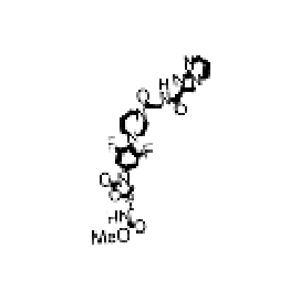 COC(=O)NC[C@H]1CN(c2cc(F)c(N3CCCN(C(=O)CNC(=O)C4CN5C=CC=NC5=N4)CC3)c(F)c2)C(=O)O1